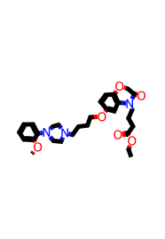 CCOC(=O)CCCN1C(=O)COc2ccc(OCCCCN3CCN(c4ccccc4OC)CC3)cc21